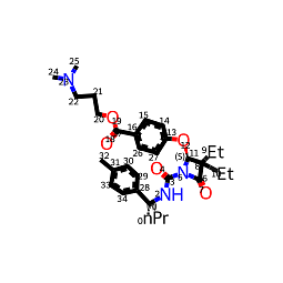 CCC[C@@H](NC(=O)N1C(=O)C(CC)(CC)[C@@H]1Oc1ccc(C(=O)OCCCN(C)C)cc1)c1ccc(C)cc1